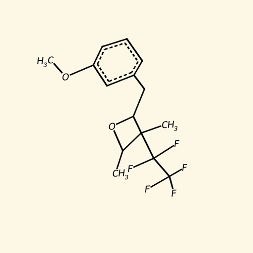 COc1cccc(CC2OC(C)C2(C)C(F)(F)C(F)(F)F)c1